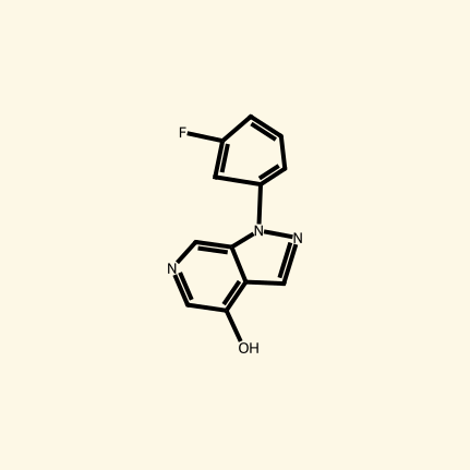 Oc1cncc2c1cnn2-c1cccc(F)c1